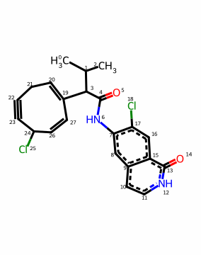 CC(C)C(C(=O)Nc1cc2cc[nH]c(=O)c2cc1Cl)C1=C/CC#CC(Cl)/C=C\1